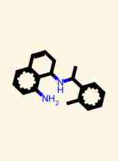 Cc1ccccc1C(C)NC1CC=Cc2cccc(N)c21